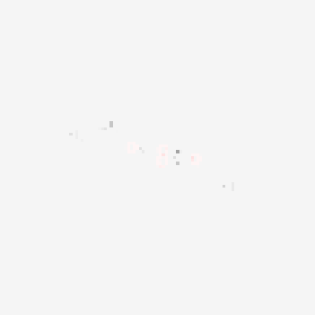 C=CCCCCCOc1ccc(C(=O)Oc2ccc(OCCCCC[C@@H](C)CC)cc2)cc1